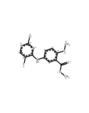 COC(=O)c1cc(Nc2nc(Cl)ncc2F)ccc1OC